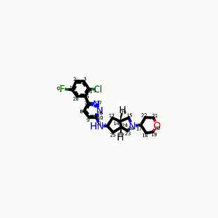 Fc1ccc(Cl)c(-c2ccc(NC3C[C@@H]4CN(C5CCOCC5)C[C@@H]4C3)nn2)c1